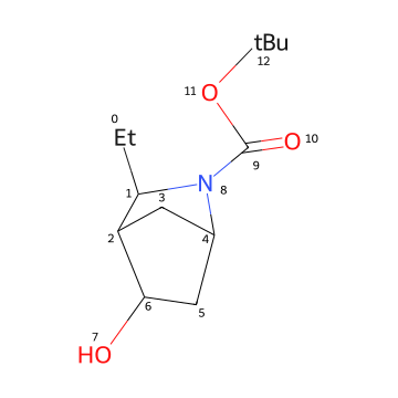 CCC1C2CC(CC2O)N1C(=O)OC(C)(C)C